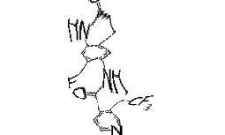 O=C1CCc2cc(NC(=O)c3ccncc3CC(F)(F)F)c(F)cc2N1